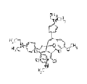 CCN(C)c1ccc(C(=CC2(C=C(c3ccc(OC)cc3)c3ccc(N(C)CC)cc3)OC(=O)c3c(Cl)c(Cl)c(Cl)c(Cl)c32)c2ccc(OC)cc2)cc1